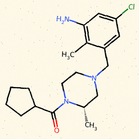 Cc1c(N)cc(Cl)cc1CN1CCN(C(=O)C2CCCC2)[C@@H](C)C1